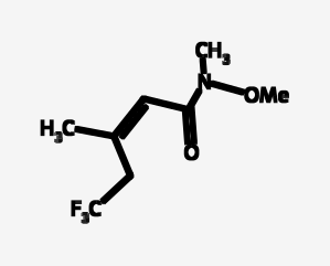 CON(C)C(=O)C=C(C)CC(F)(F)F